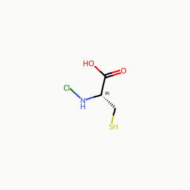 O=C(O)[C@H](CS)NCl